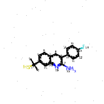 CC(C)(S)c1ccc2cc(-c3ccc(F)cc3)c(N)nc2c1